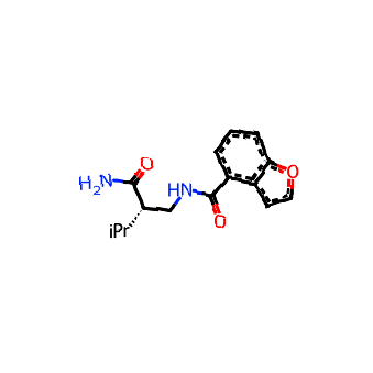 CC(C)[C@@H](CNC(=O)c1cccc2occc12)C(N)=O